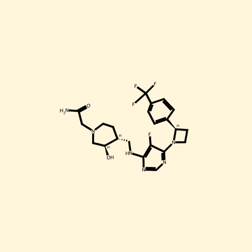 NC(=O)CN1CC[C@H](CNc2ncnc(N3CC[C@@H]3c3ccc(C(F)(F)F)cc3)c2F)[C@@H](O)C1